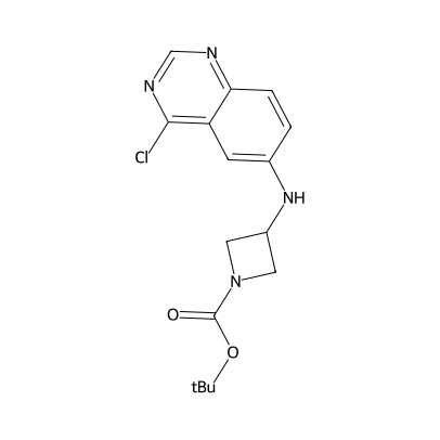 CC(C)(C)OC(=O)N1CC(Nc2ccc3ncnc(Cl)c3c2)C1